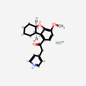 COc1ccc(C(=O)Cc2ccncc2)c2c1O[C@@H]1CCCC[C@H]21.Cl